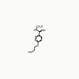 N=C(NC(=O)O)c1ccc(OCCO)nn1